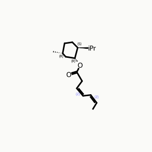 C/C=C\C=C/CC(=O)O[C@@H]1C[C@H](C)CC[C@H]1C(C)C